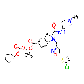 CC(OC(=O)OC1CCCCC1)OC(=O)c1ccc2c(c1)cc(C(=O)NC1CCN(C(C)C)CC1)n2Cc1cc(-c2ccc(Cl)s2)on1